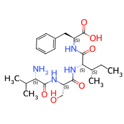 CC[C@H](C)[C@H](NC(=O)[C@H](CO)NC(=O)[C@@H](N)C(C)C)C(=O)N[C@@H](Cc1ccccc1)C(=O)O